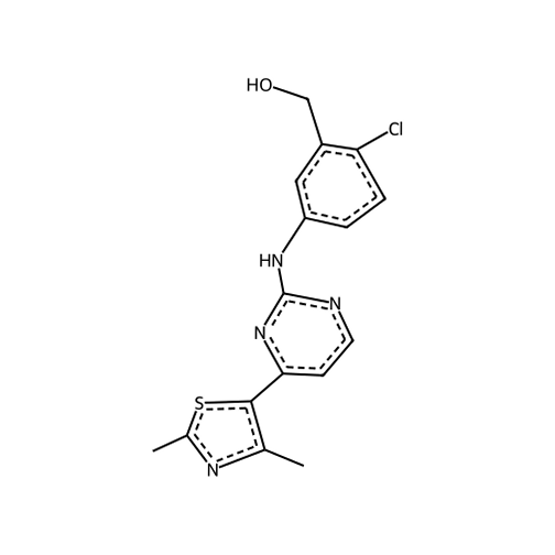 Cc1nc(C)c(-c2ccnc(Nc3ccc(Cl)c(CO)c3)n2)s1